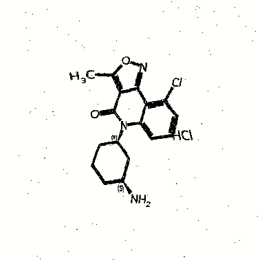 Cc1onc2c1c(=O)n([C@@H]1CCC[C@H](N)C1)c1cccc(Cl)c21.Cl